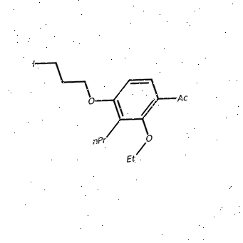 CCCc1c(OCCCI)ccc(C(C)=O)c1OCC